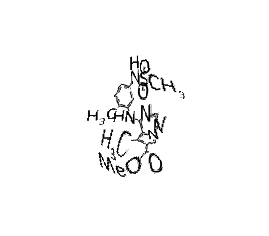 COC(=O)c1cn2ncnc(Nc3cc(NS(C)(=O)=O)ccc3C)c2c1C